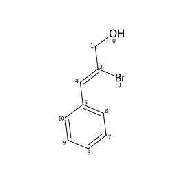 OCC(Br)=Cc1ccccc1